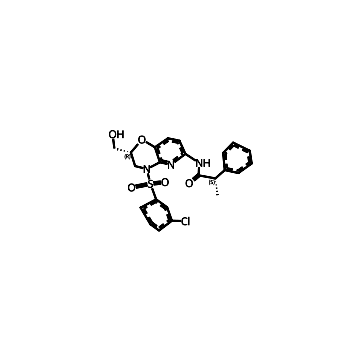 C[C@H](C(=O)Nc1ccc2c(n1)N(S(=O)(=O)c1cccc(Cl)c1)C[C@H](CO)O2)c1ccccc1